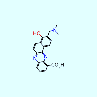 CN(C)Cc1ccc2c(ccc3nc4cccc(C(=O)O)c4nc32)c1O